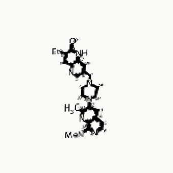 CCc1cc2ncc(CN3CCN(c4cc5ccnc(NC)c5nc4C)CC3)cc2[nH]c1=O